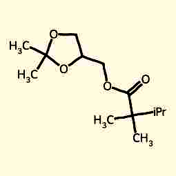 CC(C)C(C)(C)C(=O)OCC1COC(C)(C)O1